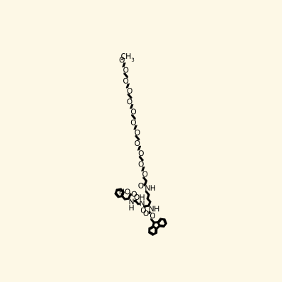 COCCOCCOCCOCCOCCOCCOCCOCCOCCOCCOCCOCCC(=O)NCCCCC(NC(=O)OCC1c2ccccc2-c2ccccc21)C(=O)NCC(=O)NC(Cc1ccccc1)C(=O)O